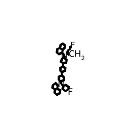 C=C/C(=C\C=C\F)N(c1ccc(-c2ccc(-c3ccc(N(C4=CCC(F)C=C4)c4cccc5ccccc45)cc3)cc2)cc1)c1cccc2ccccc12